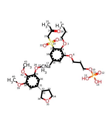 CCCOc1c(OCCCOP(=O)(O)O)c[c]([Na])cc1S(=O)(=O)CC(C)=O.COc1cc([C@@H]2CCOC2)cc(OC)c1OC